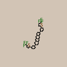 FC(F)(F)c1ccc(-c2cccc(-c3ccc4cc5cc6cc(-c7cccc(-c8ccc(C(F)(F)F)s8)c7)ccc6cc5cc4c3)c2)s1